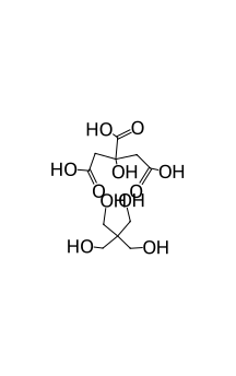 O=C(O)CC(O)(CC(=O)O)C(=O)O.OCC(CO)(CO)CO